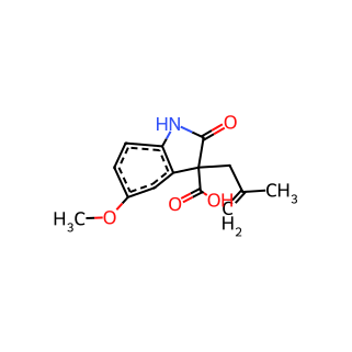 C=C(C)CC1(C(=O)O)C(=O)Nc2ccc(OC)cc21